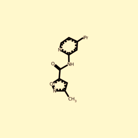 Cc1cc(C(=O)Nc2cc(C(C)C)ccn2)on1